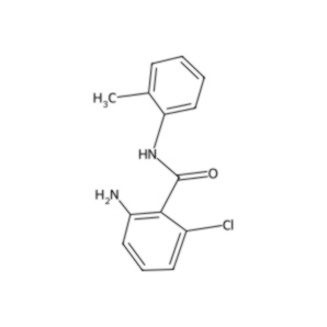 Cc1ccccc1NC(=O)c1c(N)cccc1Cl